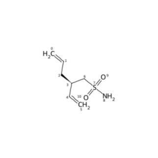 C=CC[C@H](C=C)CS(N)(=O)=O